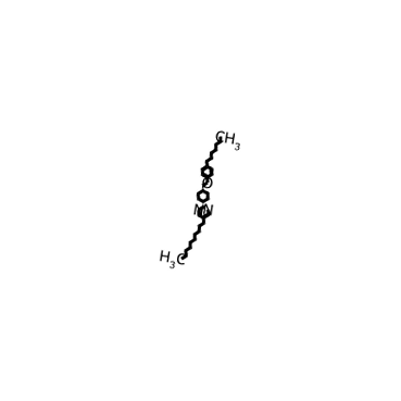 CCCCCCCCCCc1cnc([C@H]2CC[C@H](COc3ccc(CCCCCCC)cc3)CC2)nc1